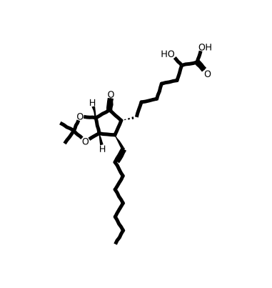 CCCCCCC=C[C@H]1[C@@H]2OC(C)(C)O[C@@H]2C(=O)[C@@H]1CCCCCC(O)C(=O)O